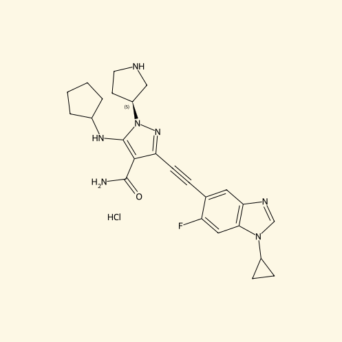 Cl.NC(=O)c1c(C#Cc2cc3ncn(C4CC4)c3cc2F)nn([C@H]2CCNC2)c1NC1CCCC1